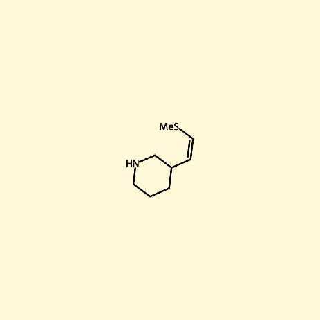 CS/C=C\C1CCCNC1